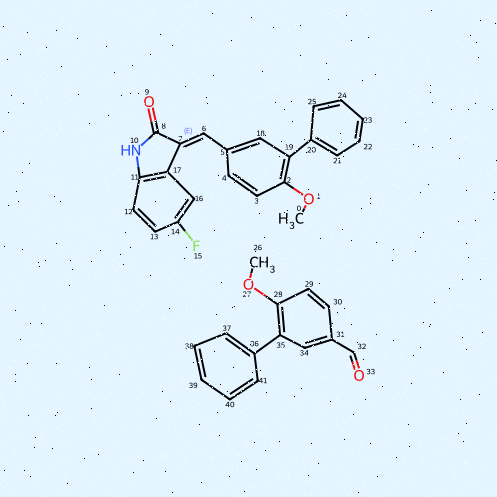 COc1ccc(/C=C2/C(=O)Nc3ccc(F)cc32)cc1-c1ccccc1.COc1ccc(C=O)cc1-c1ccccc1